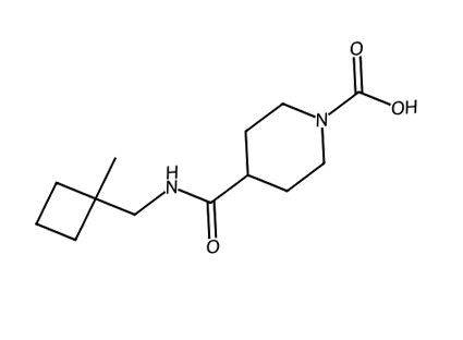 CC1(CNC(=O)C2CCN(C(=O)O)CC2)CCC1